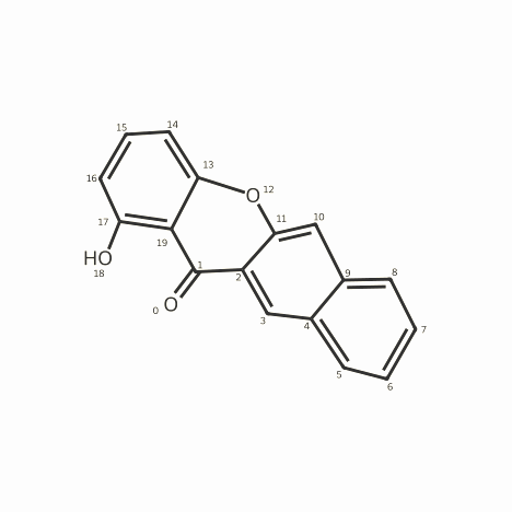 O=c1c2cc3ccccc3cc2oc2cccc(O)c12